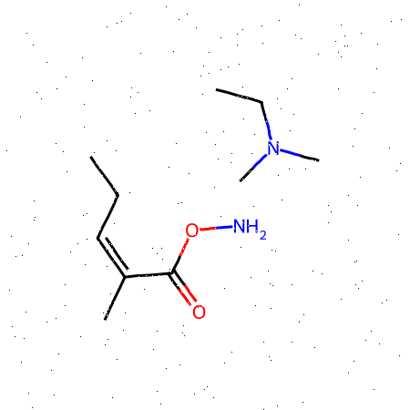 CCC=C(C)C(=O)ON.CCN(C)C